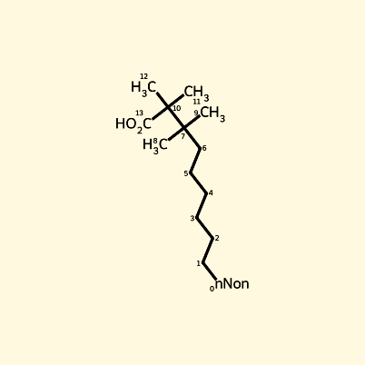 CCCCCCCCCCCCCCCC(C)(C)C(C)(C)C(=O)O